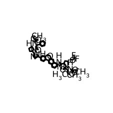 COC(=O)N[C@H](C(=O)N1C[C@@H](COC(F)F)CC1c1nc2ccc3cc4c(cc3c2[nH]1)OCc1cc(-c2cnc(C3CCCN3C(=O)[C@H](NC(=O)OC)c3ccccc3)[nH]2)ccc1-4)C(C)C